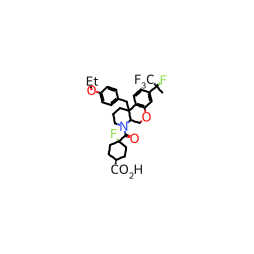 CCOc1ccc(CC23CCCN(C(=O)[C@]4(F)CC[C@@H](C(=O)O)CC4)C2COc2cc(C(C)(F)C(F)(F)F)ccc23)cc1